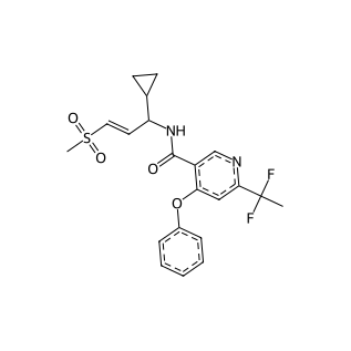 CC(F)(F)c1cc(Oc2ccccc2)c(C(=O)NC(/C=C/S(C)(=O)=O)C2CC2)cn1